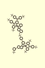 CC(C)(C)c1ccc(N(c2ccc(C(C)(C)C)cc2)c2cc3c4c(c2)N(c2ccc(C(C)(C)C)cc2)c2ccc(C(C)(C)C)cc2B4n2c4ccc5c(CC(C)(C)c6ccc(-c7cc8c9c(c7)c7c%10ccc(-c%11cccc(C(C)(C)C)c%11)cc%10ccc7n9B7c9cc(C(C)(C)C)ccc9N(c9ccc(C(C)(C)C)cc9)c9cc(C(C)(C)C)cc-8c97)cc6)cccc5c4c4cccc-3c42)cc1